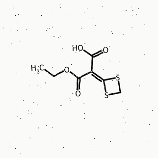 CCOC(=O)C(C(=O)O)=C1SCS1